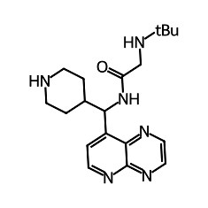 CC(C)(C)NCC(=O)NC(c1ccnc2nccnc12)C1CCNCC1